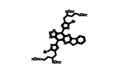 CCCCCCCCCCCCC(CCCCCCCCCC)Cc1cc(-c2c3nsnc3c(-c3cc(CC(CCCCCCCCCC)CCCCCCCCCCCC)c(Br)s3)c3nc4c(nc23)Cc2ccccc2-4)sc1Br